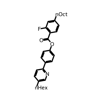 CCCCCCCCc1ccc(C(=O)Oc2ccc(-c3ccc(CCCCCC)cn3)cc2)c(F)c1